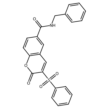 O=C(NCc1ccccc1)c1ccc2oc(=O)c(S(=O)(=O)c3ccccc3)cc2c1